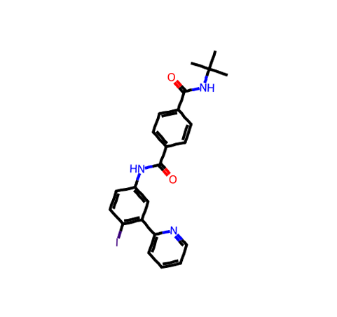 CC(C)(C)NC(=O)c1ccc(C(=O)Nc2ccc(I)c(-c3ccccn3)c2)cc1